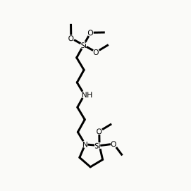 CO[Si](CCCNCCCN1CCC[Si]1(OC)OC)(OC)OC